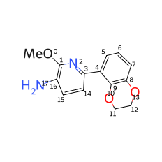 COc1nc(-c2cccc3c2OCCO3)ccc1N